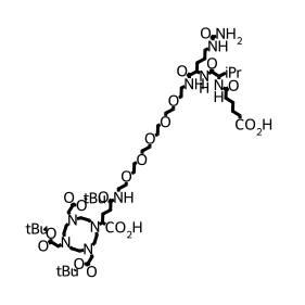 CC(C)C(NC(=O)CCCCC(=O)O)C(=O)NC(CCCNC(N)=O)C(=O)NCCOCCOCCOCCOCCOCCNC(=O)CCC(C(=O)O)N1CCN(CC(=O)OC(C)(C)C)CCN(CC(=O)OC(C)(C)C)CCN(CC(=O)OC(C)(C)C)CC1